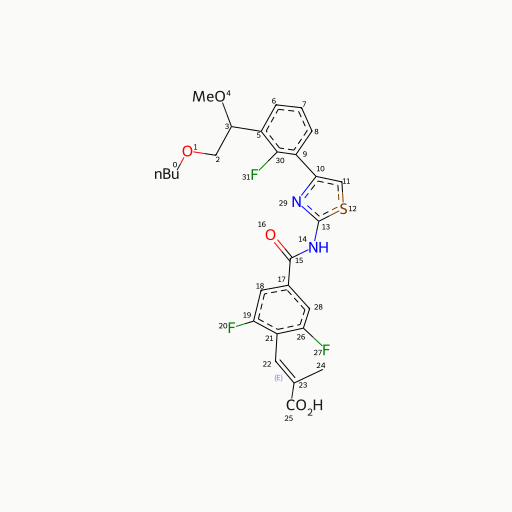 CCCCOCC(OC)c1cccc(-c2csc(NC(=O)c3cc(F)c(/C=C(\C)C(=O)O)c(F)c3)n2)c1F